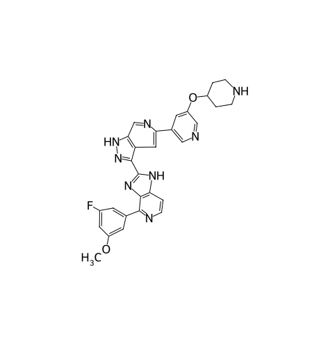 COc1cc(F)cc(-c2nccc3[nH]c(-c4n[nH]c5cnc(-c6cncc(OC7CCNCC7)c6)cc45)nc23)c1